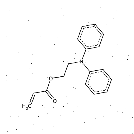 C=CC(=O)OCCN(c1ccccc1)c1ccccc1